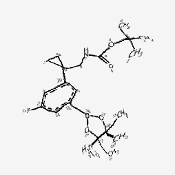 CC(C)(C)OC(=O)NCC1(c2cc(F)cc(B3OC(C)(C)C(C)(C)O3)c2)CC1